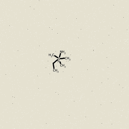 CC[SH](C)(C)(C)N